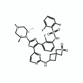 C[C@H]1CN(C)C[C@H](C)N1c1nc(-c2cccc(NS(=O)(=O)c3c(F)cccc3F)c2F)c(-c2ccnc(NC3CC4(C3)CS(=O)(=O)C4)n2)s1